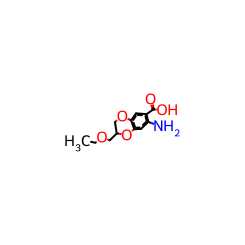 CCOCC1COc2cc(C(=O)O)c(N)cc2O1